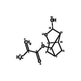 C=C(C)C(=O)OC1C2CC3OC(O)C1C3C2